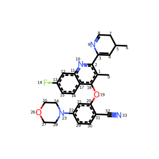 Cc1c(C2=CC(C)CC=N2)nc2cc(F)ccc2c1Oc1cc(N2CCOCC2)ccc1C#N